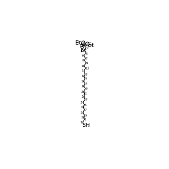 CCO[Si](CCCCCCCCCCCCCCCCCCCCCCCCCCCCCCS)(OCC)OCC